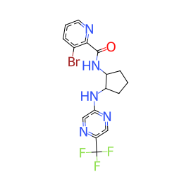 O=C(NC1CCCC1Nc1cnc(C(F)(F)F)cn1)c1ncccc1Br